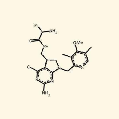 COc1c(C)cnc(CN2CC(CNC(=O)[C@H](N)C(C)C)c3c(Cl)nc(N)nc32)c1C